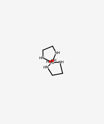 C1C[NH][Co]23([NH]1)([NH]CC[NH]2)[NH]CC[NH]3